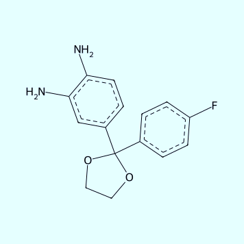 Nc1ccc(C2(c3ccc(F)cc3)OCCO2)cc1N